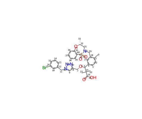 Cc1ccc(C(OCc2cn(Cc3cccc(Br)c3)nn2)C(C)(C)C(=O)O)cc1CN1C[C@@H](C)Oc2ccccc2S1(=O)=O